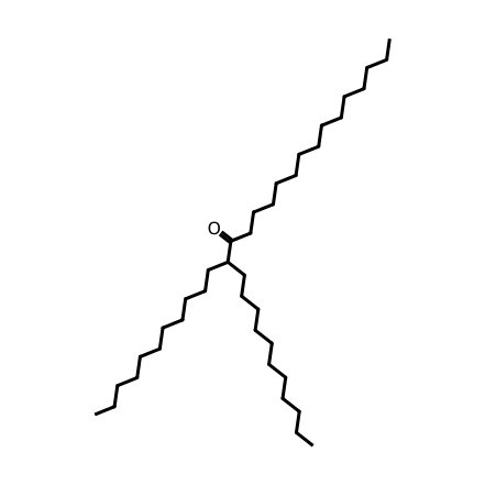 CCCCCCCCCCCCCCC(=O)C(CCCCCCCCCCC)CCCCCCCCCCC